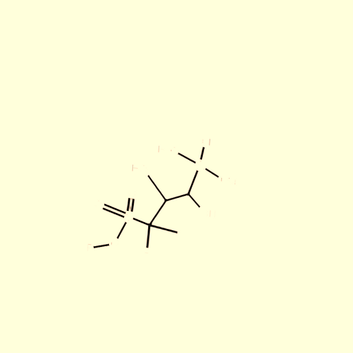 CC(C)(C)[Si](C)(C)C(O)C(O)C(F)(F)S(=O)(=O)OF